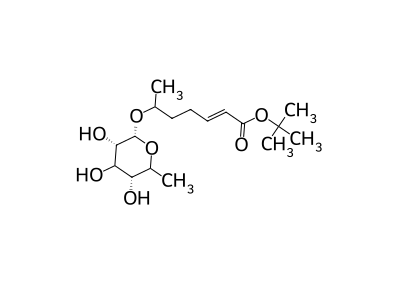 CC(CC/C=C/C(=O)OC(C)(C)C)O[C@@H]1OC(C)[C@H](O)C(O)[C@@H]1O